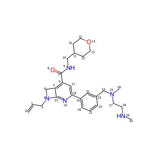 C=CCN1Cc2c(C(=O)NCC3CCOCC3)cc(-c3cccc(CN(C)CCNC)c3)nc21